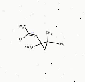 CCOC(=O)C1(/C=C(\C)C(=O)O)CC1(C)C